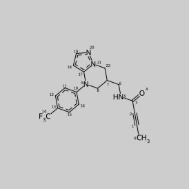 CC#CC(=O)NCC1CN(c2ccc(C(F)(F)F)cc2)c2ccnn2C1